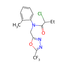 CCC(Cl)C(=O)N(Cc1nnc(C(F)(F)F)o1)c1ccccc1C